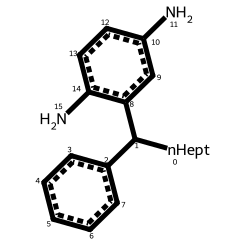 CCCCCCCC(c1ccccc1)c1cc(N)ccc1N